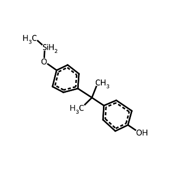 C[SiH2]Oc1ccc(C(C)(C)c2ccc(O)cc2)cc1